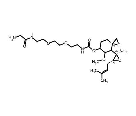 COC1C(OC(=O)NCCOCCOCCNC(=O)CN)CC[C@]2(CO2)C1[C@@]1(C)O[C@@H]1CC=C(C)C